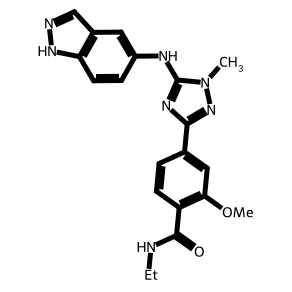 CCNC(=O)c1ccc(-c2nc(Nc3ccc4[nH]ncc4c3)n(C)n2)cc1OC